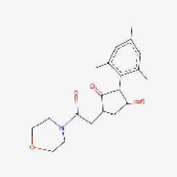 Cc1cc(C)c(C2C(=O)CC(CC(=O)N3CCOCC3)C2=O)c(C)c1